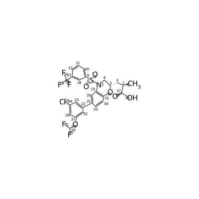 C[C@H](C[C@H]1CN(S(=O)(=O)c2cccc(C(F)(F)F)c2)c2cc(-c3cc(Cl)cc(OC(F)F)c3)ccc2O1)C(=O)O